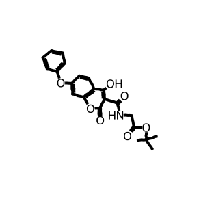 CC(C)(C)OC(=O)CNC(=O)c1c(O)c2ccc(Oc3ccccc3)cc2oc1=O